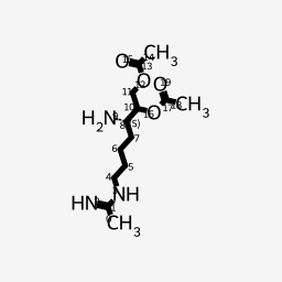 CC(=N)NCCCC[C@H](N)C(COC(C)=O)OC(C)=O